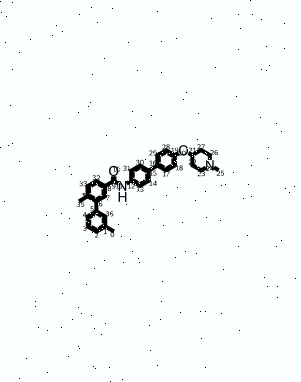 Cc1cccc(-c2cc(C(=O)Nc3ccc(-c4ccc(OC5CCN(C)CC5)cc4)cc3)ccc2C)c1